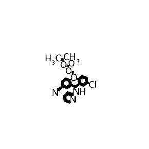 CC(C)OC(=O)OCOc1ccc(Cl)cc1C(Nc1ccccn1)c1cccc(C#N)c1